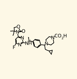 C[C@H](Nc1nc(F)cc(N2C(=O)OCC2(C)C)n1)c1ccc(C(CC2CC2)N2CCN(C(=O)O)CC2)cc1